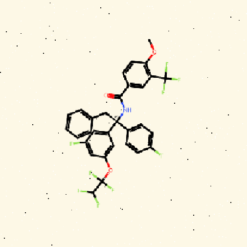 COc1ccc(C(=O)N[C@](Cc2ccccc2)(c2ccc(F)cc2)c2cc(F)cc(OC(F)(F)C(F)F)c2)cc1C(F)(F)F